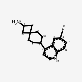 NC1CC2(CCC(c3ccnc4ccc(F)cc34)CC2)C1